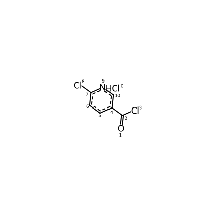 Cl.O=C(Cl)c1ccc(Cl)nc1